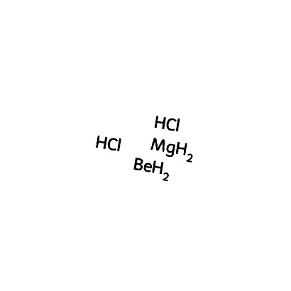 Cl.Cl.[BeH2].[MgH2]